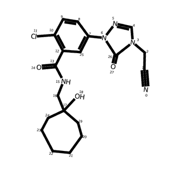 N#CCn1cnn(-c2ccc(Cl)c(C(=O)NCC3(O)CCCCCC3)c2)c1=O